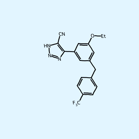 CCOc1cc(Cc2ccc(C(F)(F)F)cc2)cc(-c2nn[nH]c2C#N)c1